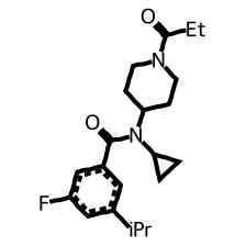 CCC(=O)N1CCC(N(C(=O)c2cc(F)cc(C(C)C)c2)C2CC2)CC1